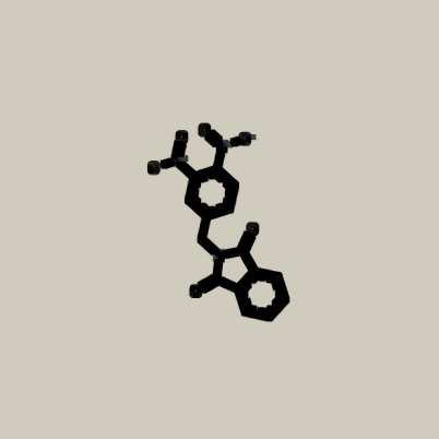 O=C1c2ccccc2C(=O)N1Cc1ccc([N+](=O)[O-])c([N+](=O)[O-])c1